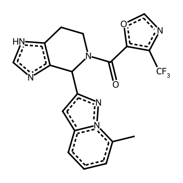 Cc1cccc2cc(C3c4nc[nH]c4CCN3C(=O)c3ocnc3C(F)(F)F)nn12